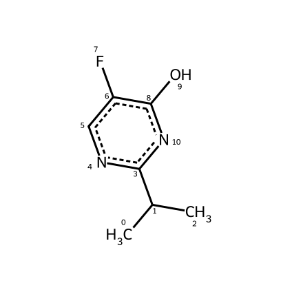 CC(C)c1ncc(F)c(O)n1